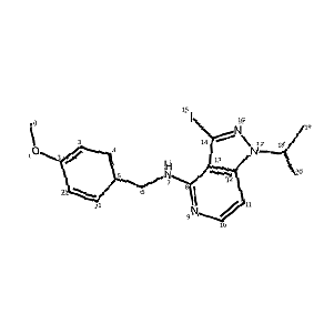 COC1=CCC(CNc2nccc3c2c(I)nn3C(C)C)C=C1